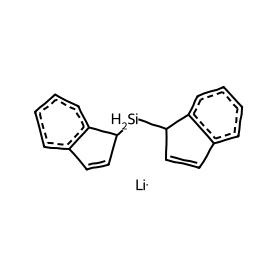 C1=CC([SiH2]C2C=Cc3ccccc32)c2ccccc21.[Li]